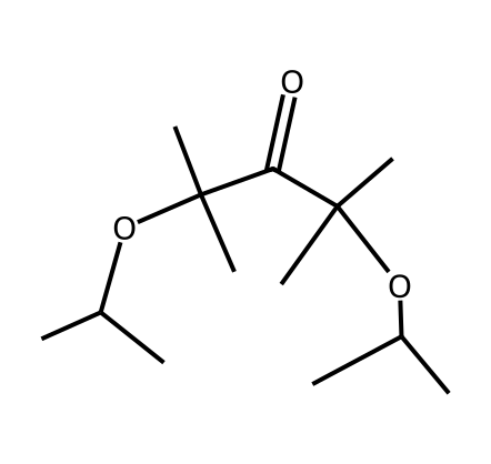 CC(C)OC(C)(C)C(=O)C(C)(C)OC(C)C